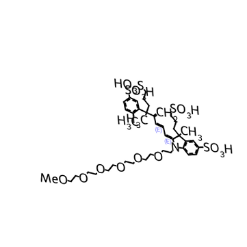 C=C(/C=C/C=C1/N(CCOCCOCCOCCOCCOCCOC)c2ccc(S(=O)(=O)O)cc2C1(C)CCCS(=O)(=O)O)C(C)(CCCS(=O)(=O)O)c1cc(S(=O)(=O)O)ccc1C